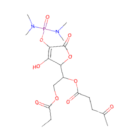 CCC(=O)OCC(OC(=O)CCC(C)=O)C1OC(=O)C(OP(=O)(N(C)C)N(C)C)=C1O